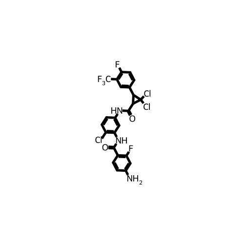 Nc1ccc(C(=O)Nc2cc(NC(=O)C3C(c4ccc(F)c(C(F)(F)F)c4)C3(Cl)Cl)ccc2Cl)c(F)c1